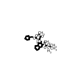 COC(=O)[C@H](Cc1cc2ccccc2cc1N(C)C(=O)OC(C)(C)C)NC(=O)OCc1ccccc1